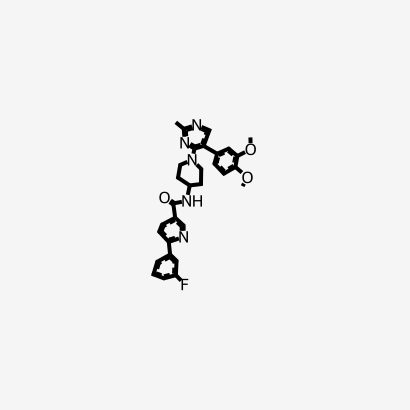 COc1ccc(-c2cnc(C)nc2N2CCC(NC(=O)c3ccc(-c4cccc(F)c4)nc3)CC2)cc1OC